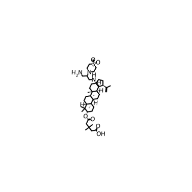 C=C(C)[C@@H]1CC[C@]2(NCC(CN)N3CCS(=O)(=O)CC3)CC[C@]3(C)[C@H](CC[C@@H]4[C@@]5(C)CC[C@H](OC(=O)CC(C)(C)CC(=O)O)C(C)(C)[C@@H]5CC[C@]43C)[C@@H]12